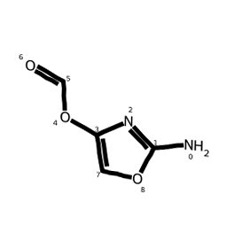 Nc1nc(OC=O)co1